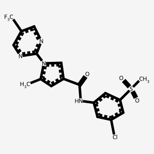 Cc1cc(C(=O)Nc2cc(Cl)cc(S(C)(=O)=O)c2)cn1-c1ncc(C(F)(F)F)cn1